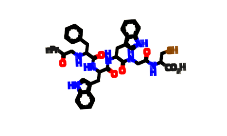 CCCC(=O)CNC(Cc1ccccc1)C(=O)NC(Cc1c[nH]c2ccccc12)C(=O)NC(Cc1c[nH]c2ccccc12)C(=O)NCC(=O)NC(CS)C(=O)O